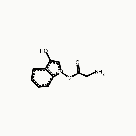 NCC(=O)On1cc(O)c2ccccc21